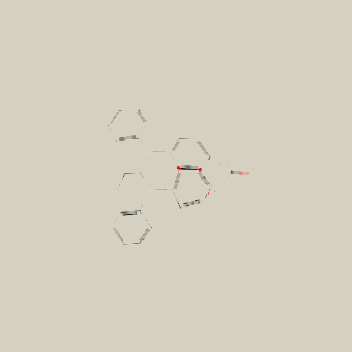 CC(=O)O.CCC(P(c1ccccc1)c1ccccc1)P(c1ccccc1)c1ccccc1